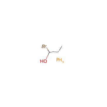 CCC(O)Br.P